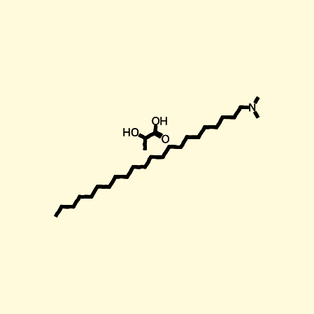 CC(O)C(=O)O.CCCCCCCCCCCCCCCCCCCCCCN(C)C